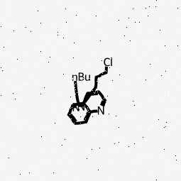 CCCCC1N=C2C=CC=C3N=CC=CC32N1CCCCl